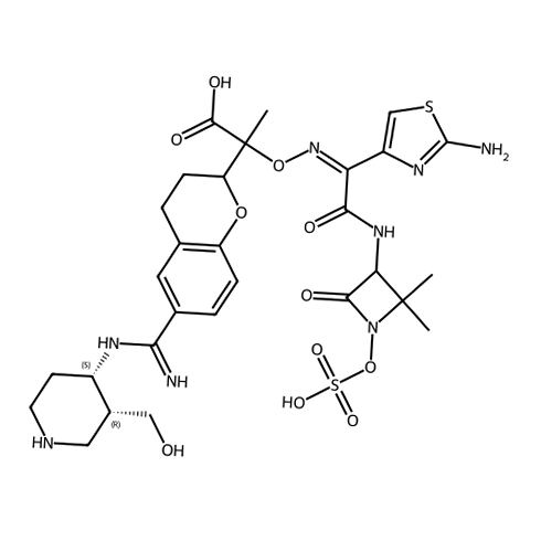 CC(ON=C(C(=O)NC1C(=O)N(OS(=O)(=O)O)C1(C)C)c1csc(N)n1)(C(=O)O)C1CCc2cc(C(=N)N[C@H]3CCNC[C@H]3CO)ccc2O1